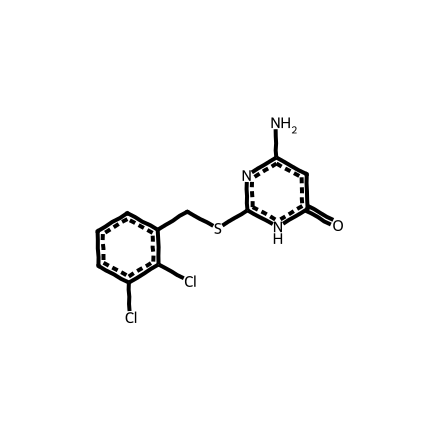 Nc1cc(=O)[nH]c(SCc2cccc(Cl)c2Cl)n1